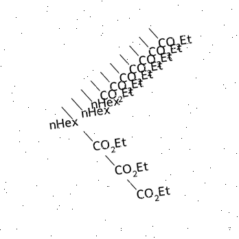 CCCCCCC.CCCCCCC.CCCCCCC.CCOC(C)=O.CCOC(C)=O.CCOC(C)=O.CCOC(C)=O.CCOC(C)=O.CCOC(C)=O.CCOC(C)=O.CCOC(C)=O.CCOC(C)=O.CCOC(C)=O